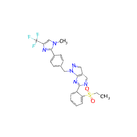 CCS(=O)(=O)c1ccccc1-c1ncc2cnn(Cc3ccc(-c4nc(C(F)(F)F)cn4C)cc3)c2n1